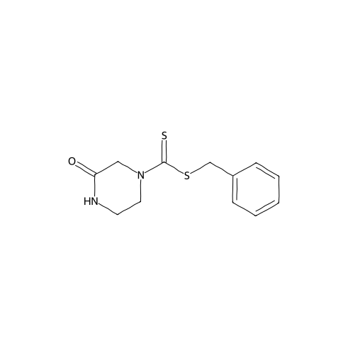 O=C1CN(C(=S)SCc2ccccc2)CCN1